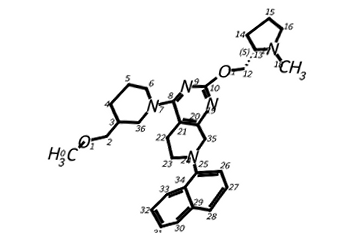 COCC1CCCN(c2nc(OC[C@@H]3CCCN3C)nc3c2CCN(c2cccc4ccccc24)C3)C1